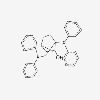 CC1(CP(c2ccccc2)c2ccccc2)C2CCC1(P(c1ccccc1)c1ccccc1)C(O)C2